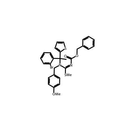 COc1ccc(CN(/C(=N\C(=O)OCc2ccccc2)SC)C(C)(c2cccs2)c2ccccc2Br)cc1